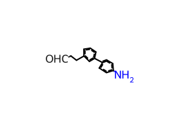 Nc1ccc(-c2cccc(CCC=O)c2)cc1